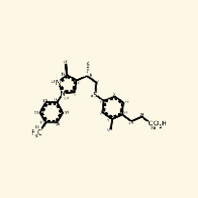 Cc1cc(SC[C@@H](C)c2cn(-c3ccc(C(F)(F)F)cc3)nc2C)ccc1CCC(=O)O